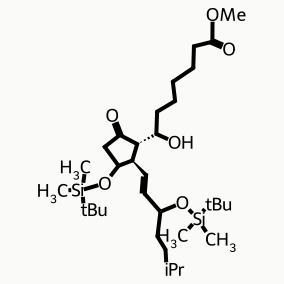 COC(=O)CCCCCC(O)[C@H]1C(=O)CC(O[Si](C)(C)C(C)(C)C)[C@@H]1C=CC(CCC(C)C)O[Si](C)(C)C(C)(C)C